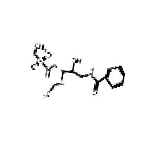 CCO[C@H](CNS(=O)(=O)CC)[C@@H](O)CNC(=O)c1ccccc1